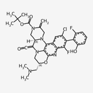 C=C1CN2c3c4c(nc5c(F)c(-c6c(O)cccc6F)c(Cl)cc35)O[C@H](CN(C)C)CN4C(=C=O)[C@H]2CN1C(=O)OC(C)(C)C